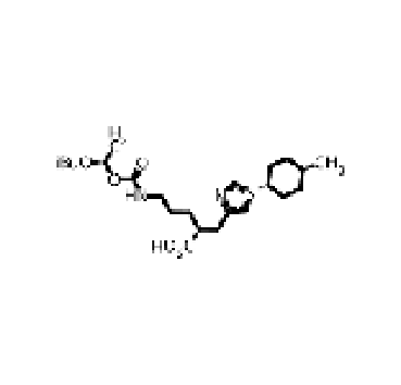 CC(C)CO[C@@H](C)OC(=O)NCCC[C@@H](Cc1cn([C@H]2CC[C@H](C)CC2)cn1)C(=O)O